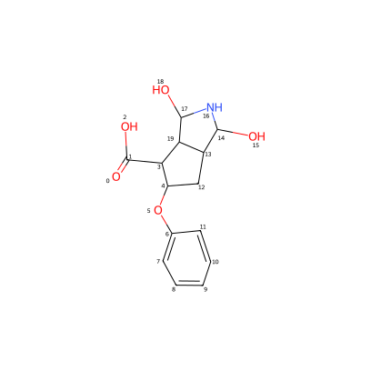 O=C(O)C1C(Oc2ccccc2)CC2C(O)NC(O)C21